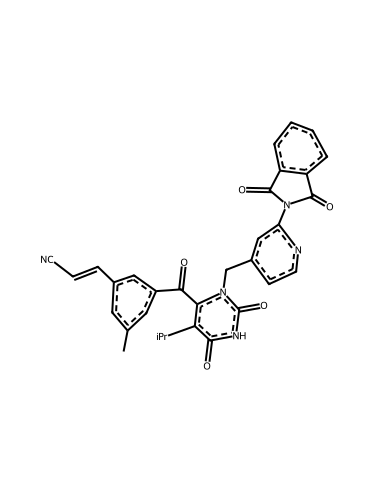 Cc1cc(C=CC#N)cc(C(=O)c2c(C(C)C)c(=O)[nH]c(=O)n2Cc2ccnc(N3C(=O)c4ccccc4C3=O)c2)c1